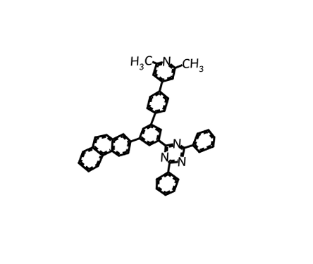 Cc1cc(-c2ccc(-c3cc(-c4ccc5c(ccc6ccccc65)c4)cc(-c4nc(-c5ccccc5)nc(-c5ccccc5)n4)c3)cc2)cc(C)n1